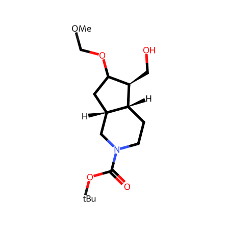 COCOC1C[C@H]2CN(C(=O)OC(C)(C)C)CC[C@H]2[C@@H]1CO